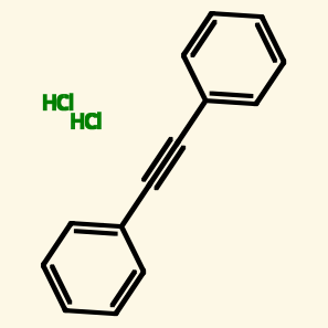 C(#Cc1ccccc1)c1ccccc1.Cl.Cl